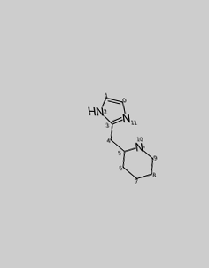 c1c[nH]c(CC2CCCC[N]2)n1